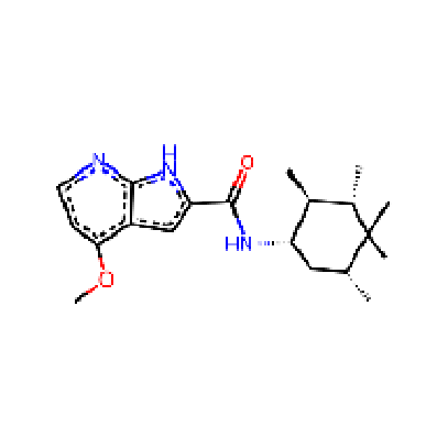 COc1ccnc2[nH]c(C(=O)N[C@H]3C[C@@H](C)C(C)(C)[C@@H](C)[C@@H]3C)cc12